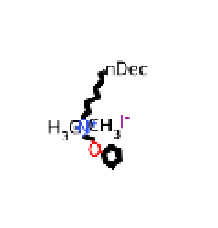 CCCCCCCCCCCCCCCCC[N+](C)(C)CCOc1ccccc1.[I-]